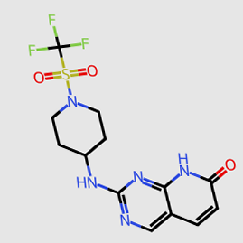 O=c1ccc2cnc(NC3CCN(S(=O)(=O)C(F)(F)F)CC3)nc2[nH]1